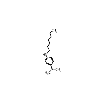 CCCCCCCNc1ccc(N(C)C)cc1